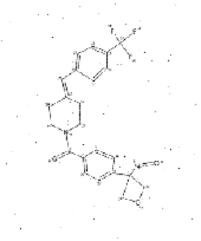 O=NC1(c2ccc(C(=O)N3CCC(=Cc4ccc(C(F)(F)F)cc4)CC3)cc2)COC1